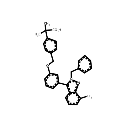 CC(C)(C(=O)O)c1ccc(COc2cccc(-c3c4cccc(C(F)(F)F)c4nn3Cc3ccccc3)c2)cc1